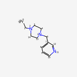 C[C](C)CN1CCN(Cc2cccnc2)CC1